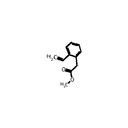 C=Cc1ccccc1[C]C(=O)OC